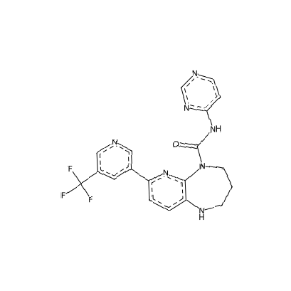 O=C(Nc1ccncn1)N1CCCNc2ccc(-c3cncc(C(F)(F)F)c3)nc21